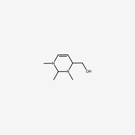 CC1N(C)C=CC(CO)N1C